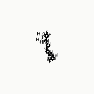 Cc1[nH]c(-c2cc(Oc3ccc4c(c3)nc(Nc3cc(C(F)(F)F)ccc3F)n4C)ccn2)nc1-c1cc(F)c(F)c(C)c1F